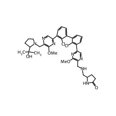 COc1nc(-c2cccc(-c3cccc(-c4cnc(CN5CCCC5C(C)(C)O)c(OC)n4)c3Cl)c2Cl)cnc1CNCC1CCC(=O)N1